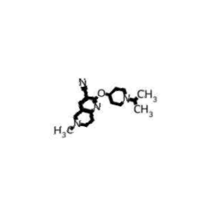 CC(C)N1CCC(Oc2nc3c(cc2C#N)CN(C)CC3)CC1